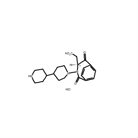 Cl.O=C(O)C[C@H]1C(=O)c2ccc(cc2)C(=O)N1N1CCC(C2CCNCC2)CC1